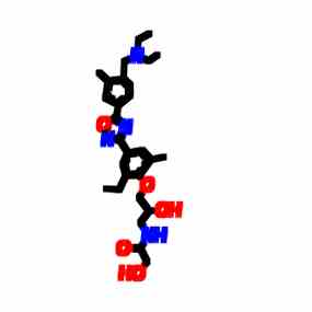 CCc1cc(-c2noc(-c3ccc(CN(CC)CC)c(C)c3)n2)cc(C)c1OCC(O)CNC(=O)CO